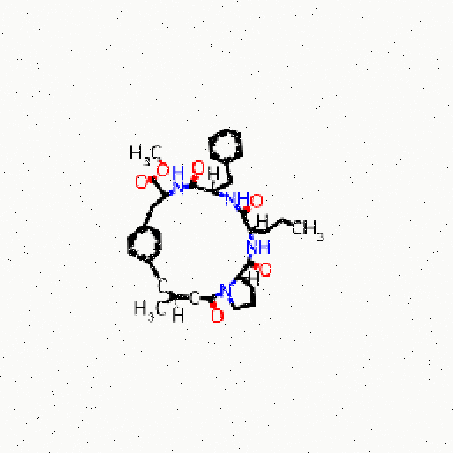 CCC[C@@H]1NC(=O)[C@@H]2CCCN2C(=O)C[C@@H](C)Cc2ccc(cc2)CC(C(=O)OC)NC(=O)[C@H](Cc2ccccc2)NC1=O